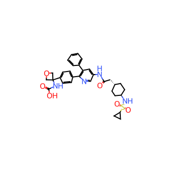 O=C(O)NC1(c2ccc(-c3ncc(NC(=O)C[C@H]4CC[C@H](NS(=O)(=O)C5CC5)CC4)cc3-c3ccccc3)cc2)COC1